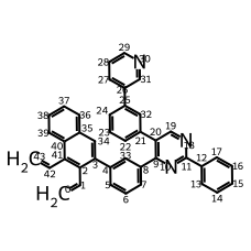 C=Cc1c(-c2cccc(-c3nc(-c4ccccc4)ncc3-c3cccc(-c4cccnc4)c3)c2)cc2ccccc2c1C=C